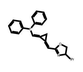 CC(C)C1COC(/C=C2\C\C2=C/P(c2ccccc2)c2ccccc2)=N1